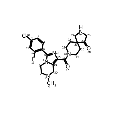 CN1CCn2c(-c3ccc(Cl)cc3F)nc(C(=O)N3CCC4(CC3)CNCC4=O)c2C1